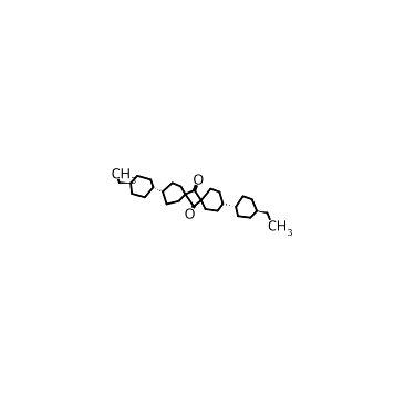 CC[C@H]1CC[C@H](C2CCC3(CC2)C(=O)C2(CCC([C@H]4CC[C@H](CC)CC4)CC2)C3=O)CC1